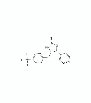 O=C1NC(Cc2ccc(C(F)(F)F)cc2)C(c2ccncc2)O1